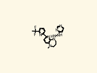 CN1CCCN(NNc2ccncn2)c2nc(-c3cccc(C(C)(F)F)n3)ccc21